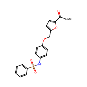 COC(=O)c1ccc(COc2ccc(NS(=O)(=O)c3ccccc3)cc2)o1